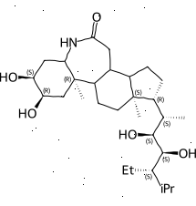 CC[C@@H](C(C)C)[C@H](O)[C@@H](O)[C@@H](C)[C@H]1CCC2C3CC(=O)NC4C[C@H](O)[C@H](O)C[C@]4(C)C3CC[C@@]21C